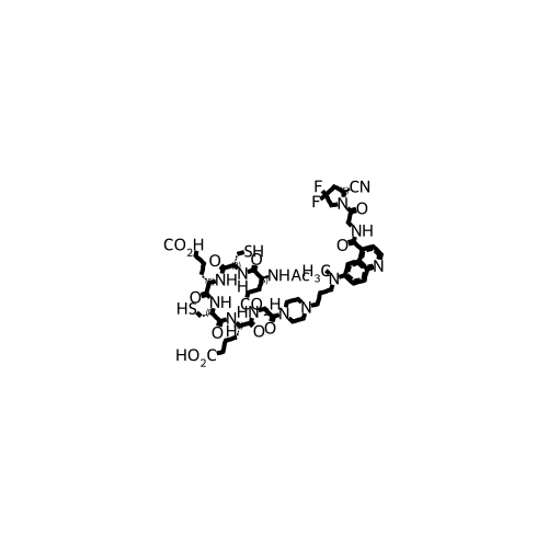 CC(=O)N[C@@H](CCC(=O)O)C(=O)N[C@@H](CS)C(=O)N[C@@H](CCCC(=O)O)C(=O)N[C@@H](CS)C(=O)N[C@@H](CCCC(=O)O)C(=O)NCC(=O)N1CCN(CCCN(C)c2ccc3nccc(C(=O)NCC(=O)N4CC(F)(F)C[C@H]4C#N)c3c2)CC1